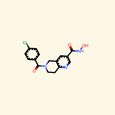 O=C(NO)c1cnc2c(c1)CN(C(=O)c1ccc(Cl)cc1)CC2